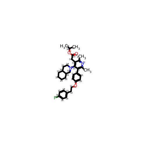 Cc1nc(C)c(-c2ccc(OCCc3ccc(F)cc3)cc2)c(N2CCC3CCCCC3C2)c1CC(=O)OC(C)C